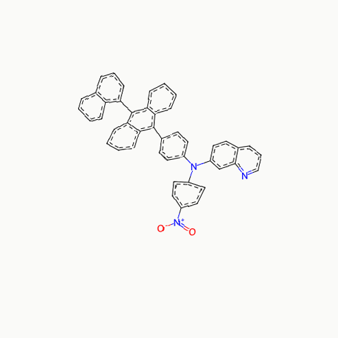 O=[N+]([O-])c1ccc(N(c2ccc(-c3c4ccccc4c(-c4cccc5ccccc45)c4ccccc34)cc2)c2ccc3cccnc3c2)cc1